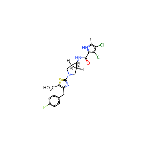 Cc1[nH]c(C(=O)N[C@H]2[C@@H]3CN(c4nc(Cc5ccc(F)cc5)c(C(=O)O)s4)C[C@@H]32)c(Cl)c1Cl